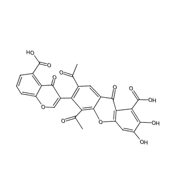 CC(=O)c1cc2c(=O)c3c(C(=O)O)c(O)c(O)cc3oc2c(C(C)=O)c1-c1coc2cccc(C(=O)O)c2c1=O